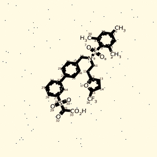 Cc1cc(C)c(S(=O)(=O)N(CCc2ccc(C(F)(F)F)o2)Cc2ccc(-c3cccc(S(=O)(=O)C(=O)C(=O)O)c3)cc2)c(C)c1